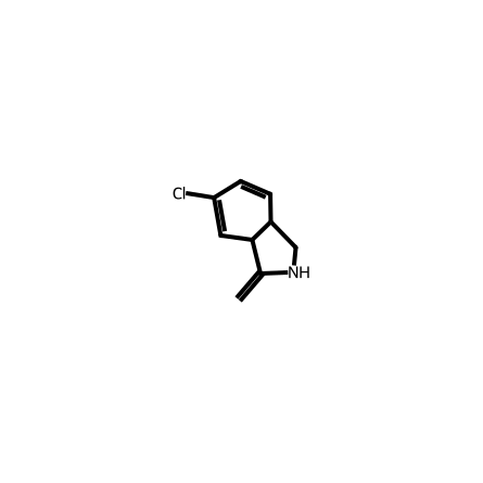 C=C1NCC2C=CC(Cl)=CC12